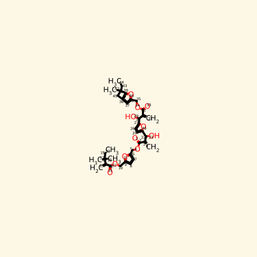 C=C(C(=O)OCc1ccc(COC(=O)C(=C)C(C)(C)CC)o1)C(O)c1ccc(C(O)C(=C)C(=O)OCc2cc3c(o2)C(C)(CC)C3)o1